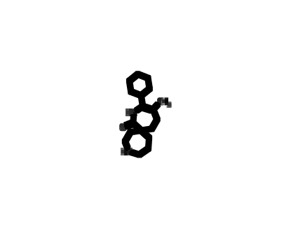 CC1=C(C2CCCCC2)NC(=O)C2(CCCNCC2)CC1